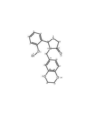 CCOc1ccccc1C1SCC(=O)N1Cc1ccc2c(c1)OCCO2